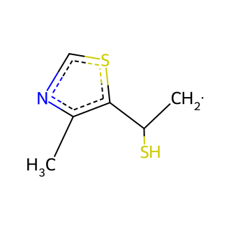 [CH2]C(S)c1scnc1C